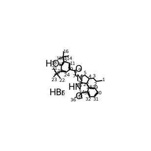 Br.CCCC1CN(CC(=O)c2cc(C(C)(C)C)c(O)c(C(C)(C)C)c2)C(=N)C1c1ccccc1COC